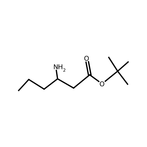 CCCC(N)CC(=O)OC(C)(C)C